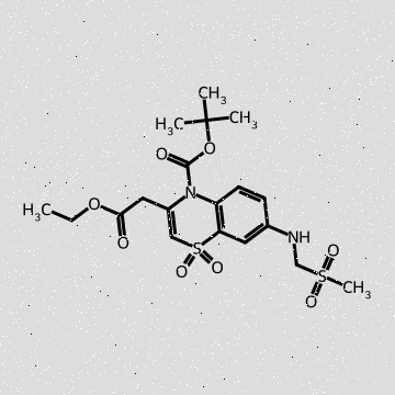 CCOC(=O)CC1=CS(=O)(=O)c2cc(NCS(C)(=O)=O)ccc2N1C(=O)OC(C)(C)C